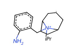 CC(C)[N+]1(Cc2ccccc2N)C2C[CH]CC1CC2